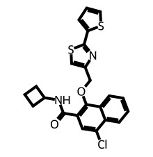 O=C(NC1CCC1)c1cc(Cl)c2ccccc2c1OCc1csc(-c2cccs2)n1